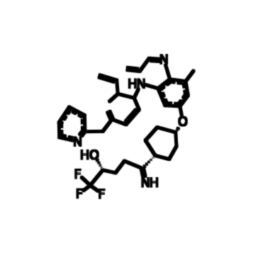 C=C/C=N\c1c(C)cc(O[C@H]2CC[C@@H](C(=N)CC[C@@H](O)C(F)(F)F)CC2)cc1NC(/C=C\C(=C)Cc1ccccn1)C(C)C=C